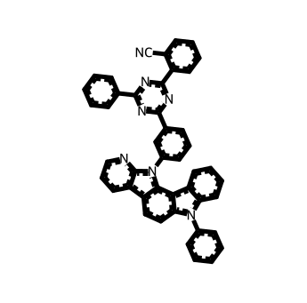 N#Cc1ccccc1-c1nc(-c2ccccc2)nc(-c2cccc(-n3c4ncccc4c4ccc5c(c6ccccc6n5-c5ccccc5)c43)c2)n1